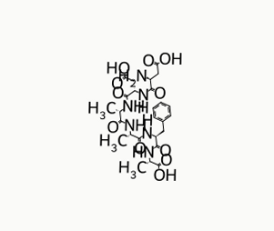 C[C@H](NC(=O)[C@H](Cc1ccccc1)NC(=O)[C@H](C)NC(=O)[C@H](C)NC(=O)[C@H](CC(=O)O)NC(=O)[C@@H](N)CC(=O)O)C(=O)O